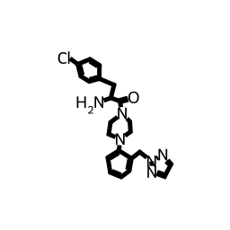 NC(Cc1ccc(Cl)cc1)C(=O)N1CCN(c2ccccc2Cn2nccn2)CC1